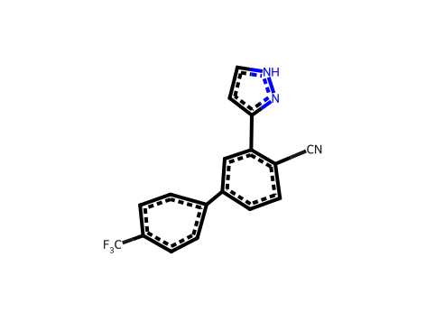 N#Cc1ccc(-c2ccc(C(F)(F)F)cc2)cc1-c1cc[nH]n1